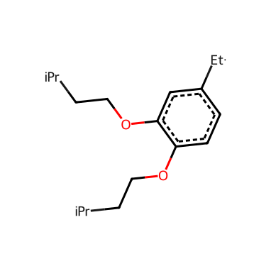 C[CH]c1ccc(OCCC(C)C)c(OCCC(C)C)c1